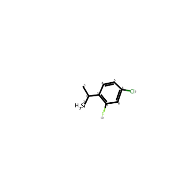 CC([SiH3])c1ccc(Cl)cc1F